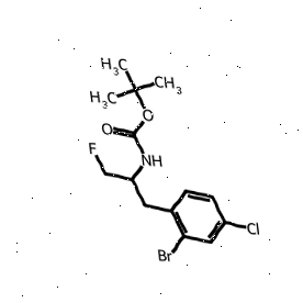 CC(C)(C)OC(=O)NC(CF)Cc1ccc(Cl)cc1Br